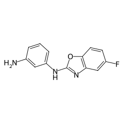 Nc1cccc(Nc2nc3cc(F)ccc3o2)c1